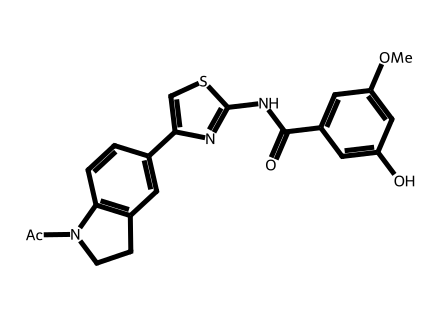 COc1cc(O)cc(C(=O)Nc2nc(-c3ccc4c(c3)CCN4C(C)=O)cs2)c1